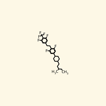 CCC(C)CCC1CCC(c2cc(F)c(CCc3cc(F)c(C(F)(F)F)c(F)c3)c(F)c2)CC1